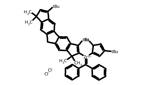 CCC1C=C(C(C)(C)C)C=[C]1[Zr+2]([C]1=C(C(C)(C)C)c2cc3c(cc2C1(C)C)Cc1cc2c(cc1-3)C(C(C)(C)C)=CC2(C)C)=[C](c1ccccc1)c1ccccc1.[Cl-].[Cl-]